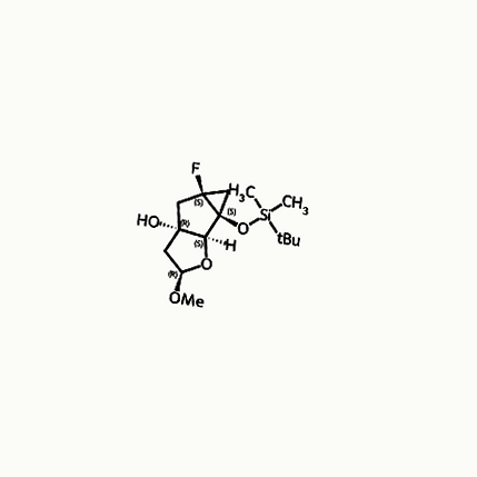 CO[C@H]1C[C@@]2(O)C[C@]3(F)C[C@]3(O[Si](C)(C)C(C)(C)C)[C@H]2O1